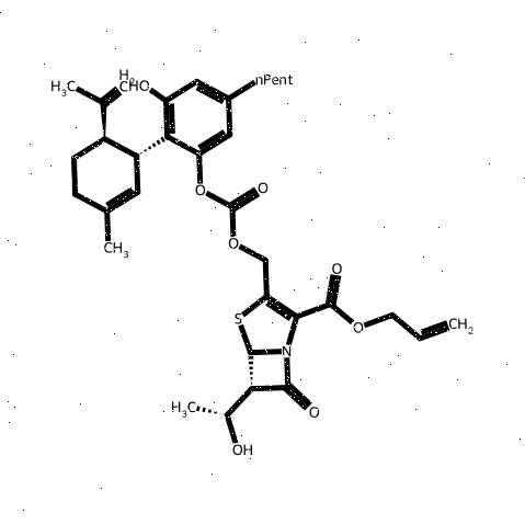 C=CCOC(=O)C1=C(COC(=O)Oc2cc(CCCCC)cc(O)c2[C@@H]2C=C(C)CC[C@H]2C(=C)C)SC2[C@@H]([C@@H](C)O)C(=O)N12